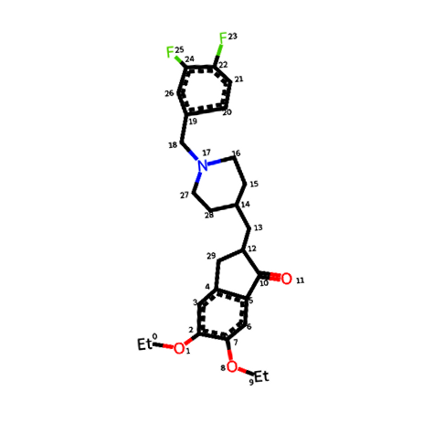 CCOc1cc2c(cc1OCC)C(=O)C(CC1CCN(Cc3ccc(F)c(F)c3)CC1)C2